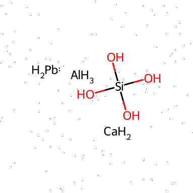 O[Si](O)(O)O.[AlH3].[CaH2].[PbH2]